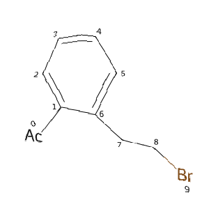 CC(=O)c1ccccc1CCBr